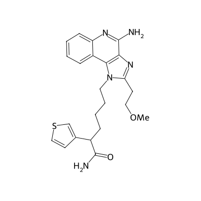 COCCc1nc2c(N)nc3ccccc3c2n1CCCCC(C(N)=O)c1ccsc1